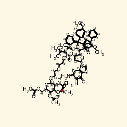 COc1ccc(C(OC(C(=O)COc2ccccc2)[C@H]2O[C@@H](n3cnc4c(=O)[nH]c(N)nc43)C[C@@H]2OP(=O)(OCCOCCO[C@@H]2O[C@H](COC(C)=O)[C@H](OC(C)=O)[C@H](OC(C)=O)[C@H]2NC(C)=O)N(C(C)C)C(C)C)(c2ccccc2)c2ccc(OC)cc2)cc1